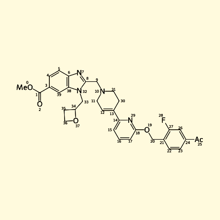 COC(=O)c1ccc2nc(CN3CC=C(c4cccc(OCc5ccc(C(C)=O)cc5F)n4)CC3)n(CC3CCO3)c2c1